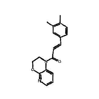 Cc1ccc(/C=C/C(=O)N2CCOc3ncccc32)cc1C